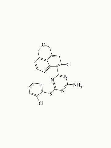 Nc1nc(Sc2ccccc2Cl)nc(-c2c(Cl)cc3c4c(cccc24)COC3)n1